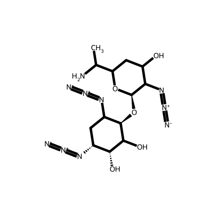 CC(N)C1CC(O)C(N=[N+]=[N-])[C@@H](O[C@@H]2C(N=[N+]=[N-])C[C@@H](N=[N+]=[N-])[C@@H](O)C2O)O1